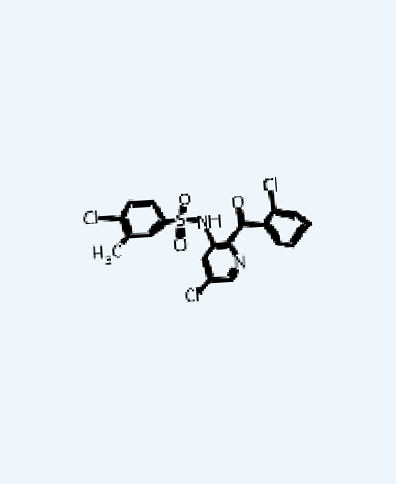 Cc1cc(S(=O)(=O)Nc2cc(Cl)cnc2C(=O)c2ccccc2Cl)ccc1Cl